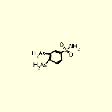 NS(=O)(=O)c1ccc([AsH2])c([AsH2])c1